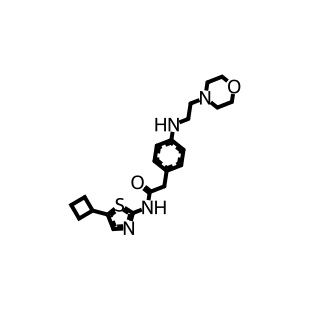 O=C(Cc1ccc(NCCN2CCOCC2)cc1)Nc1ncc(C2CCC2)s1